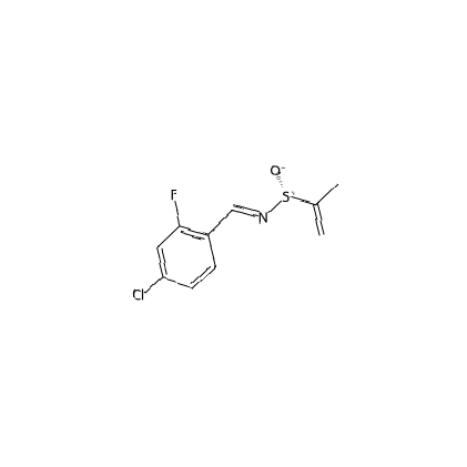 C=C(C)[S@@+]([O-])/N=C/c1ccc(Cl)cc1F